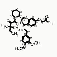 CCC(C)(C)C(=O)C(=O)N1CCCC[C@@H]1C(=O)O[C@@H](CCc1ccc(OC)c(OC)c1)c1ccc(OCC(=O)O)cc1